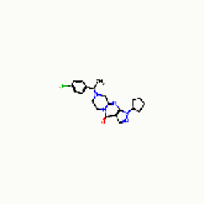 CC(c1ccc(Cl)cc1)N1CCn2c(nc3c(cnn3C3CCCC3)c2=O)C1